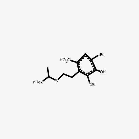 CCCCCCC(C)SCCc1c(C(=O)O)cc(C(C)(C)C)c(O)c1C(C)(C)C